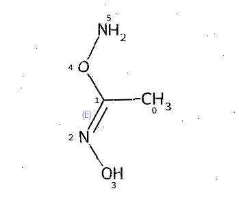 C/C(=N\O)ON